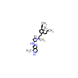 C=C/C=C\c1c(CCC(C)N2C[C@H](Nc3cc4c(cn3)CCN[C@@H]4C)CC2CC)ccc(C#CC)c1C